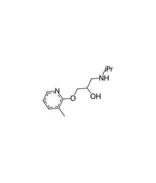 Cc1cccnc1OCC(O)CNC(C)C